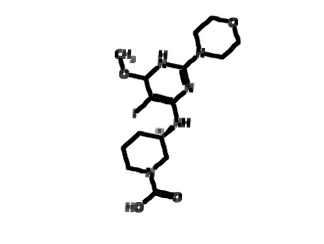 COC1NC(N2CCOCC2)=NC(N[C@@H]2CCCN(C(=O)O)C2)=C1I